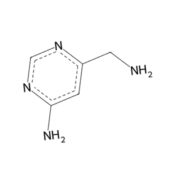 NCc1cc(N)ncn1